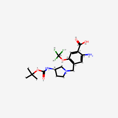 CC(C)(C)OC(=O)N[C@@H]1CCN(Cc2cc(N)c(C(=O)O)cc2OC(F)(F)F)C1